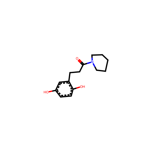 O=C(CCc1cc(O)ccc1O)N1CCCCC1